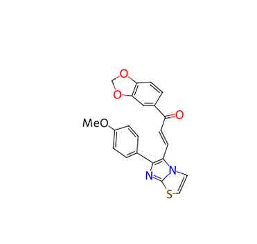 COc1ccc(-c2nc3sccn3c2C=CC(=O)c2ccc3c(c2)OCO3)cc1